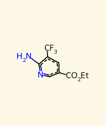 CCOC(=O)c1cnc(N)c(C(F)(F)F)c1